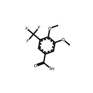 COc1cc(C(=O)S)cc(C(F)(F)F)c1OC